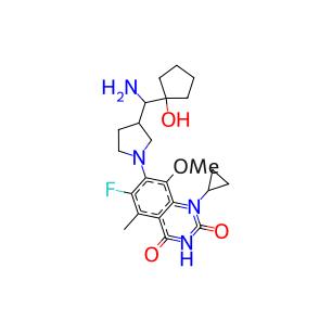 COc1c(N2CCC(C(N)C3(O)CCCC3)C2)c(F)c(C)c2c(=O)[nH]c(=O)n(C3CC3)c12